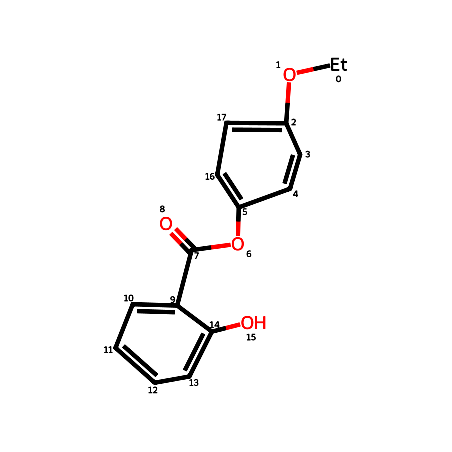 CCOc1ccc(OC(=O)c2ccccc2O)cc1